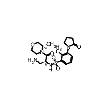 Cc1c(N2CCCC2=O)cccc1S(=O)(=O)N[C@@H](CN)C(=O)N1CCOC[C@@H]1C